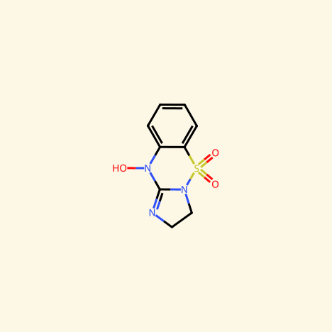 O=S1(=O)c2ccccc2N(O)C2=NCCN21